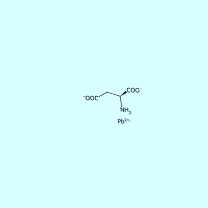 N[C@@H](CC(=O)[O-])C(=O)[O-].[Pb+2]